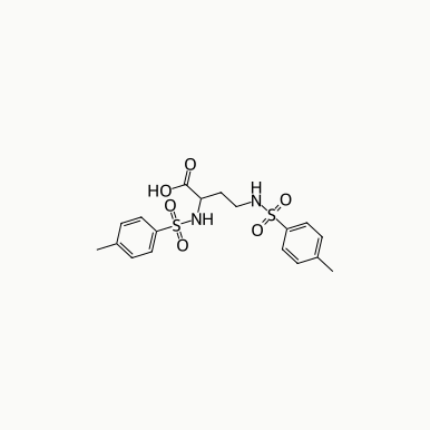 Cc1ccc(S(=O)(=O)NCCC(NS(=O)(=O)c2ccc(C)cc2)C(=O)O)cc1